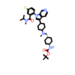 CC(C)N(C)C(=O)c1cc(F)ccc1-n1cc(C2CCC(N(C)C[C@H]3CC[C@H](NC(=O)OC(C)(C)C)CC3)CC2)c2ccncc21